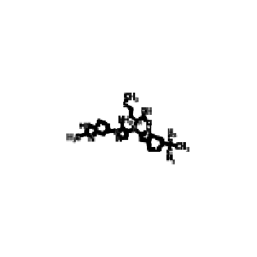 CSCC[C@@H](C(=O)O)N(c1cc2ccc(C(C)(C)C)cc2[nH]1)c1cnn(-c2ccc3[nH]c(C)nc3c2)c1N